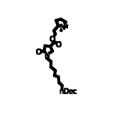 CCCCCCCCCCCCCCCCCCN1CC(C(=O)OCCC2CCC[N+]2(C)C)CC1=O